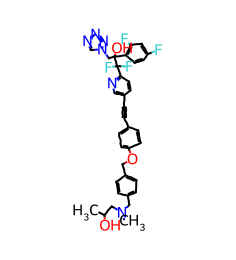 CC(O)CN(C)Cc1ccc(COc2ccc(C#Cc3ccc(C(F)(F)C(O)(Cn4cnnn4)c4ccc(F)cc4F)nc3)cc2)cc1